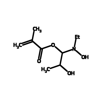 C=C(C)C(=O)OC(C(C)O)N(O)CC